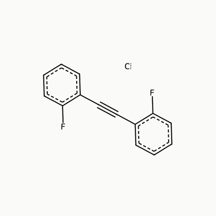 Fc1ccccc1C#Cc1ccccc1F.[C]